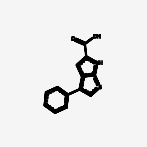 O=C(O)c1cc2c(-c3ccccc3)csc2[nH]1